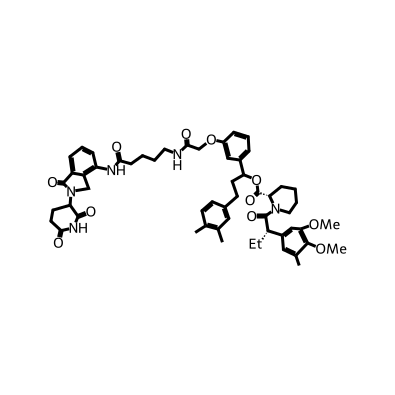 CC[C@H](C(=O)N1CCCC[C@H]1C(=O)OC(CCc1ccc(C)c(C)c1)c1cccc(OCC(=O)NCCCCC(=O)Nc2cccc3c2CN(C2CCC(=O)NC2=O)C3=O)c1)c1cc(C)c(OC)c(OC)c1